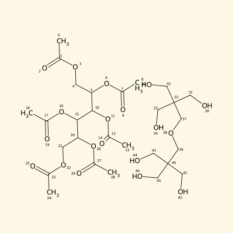 CC(=O)OCC(OC(C)=O)C(OC(C)=O)C(OC(C)=O)C(COC(C)=O)OC(C)=O.OCC(CO)(CO)COCC(CO)(CO)CO